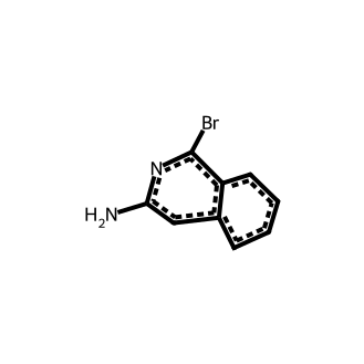 Nc1cc2ccccc2c(Br)n1